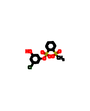 CS(=O)(=O)c1ccccc1S(=O)(=O)Oc1cc(O)cc(Cl)c1